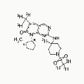 [2H]C1(Nc2ncc3cc(C([2H])([2H])[2H])c(=O)n([C@@H]4CCC[C@@H]4C)c3n2)CCN(S(=O)(=O)C([2H])([2H])[2H])CC1